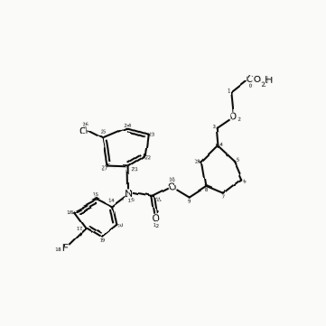 O=C(O)COCC1CCCC(COC(=O)N(c2ccc(F)cc2)c2cccc(Cl)c2)C1